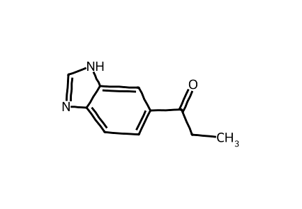 CCC(=O)c1ccc2nc[nH]c2c1